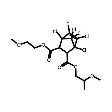 COCCOC(=O)C1C(C(=O)OCC(C)OC)C2(Cl)C(Cl)=C(Cl)C1(Cl)C2(Cl)Cl